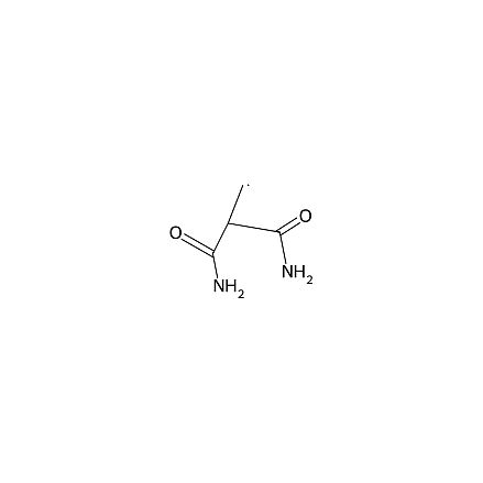 [CH2]C(C(N)=O)C(N)=O